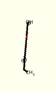 CCCC/C=C\CCCCCCCC(=O)OCCCCCCCCCCCCCCCCCCCCCCCCCCCCCCCCCCCC(=O)O